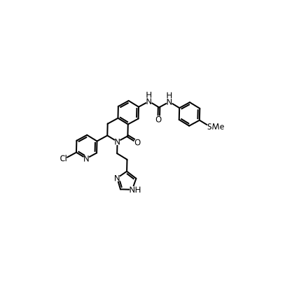 CSc1ccc(NC(=O)Nc2ccc3c(c2)C(=O)N(CCc2c[nH]cn2)C(c2ccc(Cl)nc2)C3)cc1